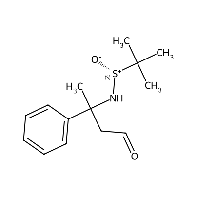 CC(CC=O)(N[S@+]([O-])C(C)(C)C)c1ccccc1